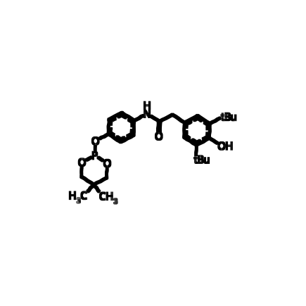 CC1(C)COP(Oc2ccc(NC(=O)Cc3cc(C(C)(C)C)c(O)c(C(C)(C)C)c3)cc2)OC1